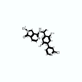 CCN1Cc2c(ccnc2NC(C)c2cc(F)c(-c3ccnc(Cl)c3)cc2F)C1=O